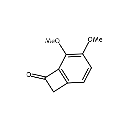 COc1ccc2c(c1OC)C(=O)C2